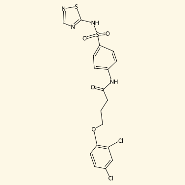 O=C(CCCOc1ccc(Cl)cc1Cl)Nc1ccc(S(=O)(=O)Nc2ncns2)cc1